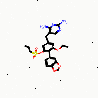 CCCS(=O)(=O)Oc1cc(Cc2cnc(N)nc2N)cc(OCC)c1-c1ccc2c(c1)OCO2